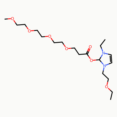 CCOCCN1C=CN(CC)C1OC(=O)CCOCCOCCOCCOC